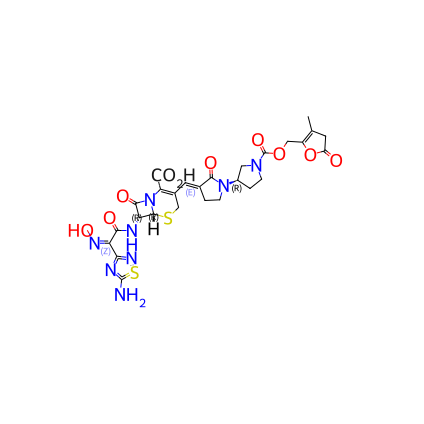 CC1=C(COC(=O)N2CC[C@@H](N3CC/C(=C\C4=C(C(=O)O)N5C(=O)[C@@H](NC(=O)/C(=N\O)c6nsc(N)n6)[C@H]5SC4)C3=O)C2)OC(=O)C1